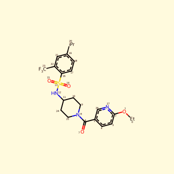 CCOc1ccc(C(=O)N2CCC(NS(=O)(=O)c3ccc(C(C)C)cc3C(F)(F)F)CC2)cn1